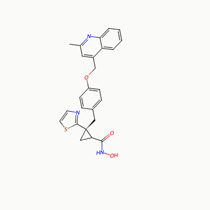 Cc1cc(COc2ccc(C[C@]3(c4nccs4)CC3C(=O)NO)cc2)c2ccccc2n1